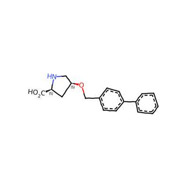 O=C(O)[C@@H]1C[C@H](OCc2ccc(-c3ccccc3)cc2)CN1